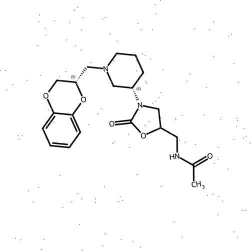 CC(=O)NCC1CN([C@H]2CCCN(C[C@H]3COc4ccccc4O3)C2)C(=O)O1